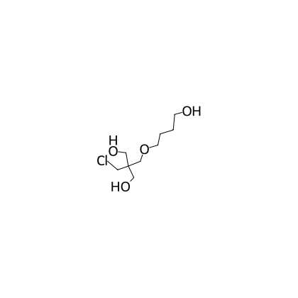 OCCCCOCC(CO)(CO)CCl